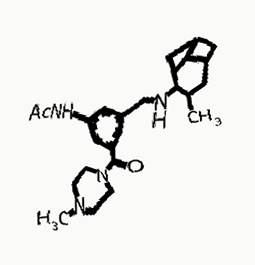 CC(=O)Nc1cc(CNC2C(C)CC3CC4CC2C34)cc(C(=O)N2CCN(C)CC2)c1